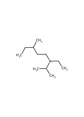 CCC(C)CCN(CC)C(C)C